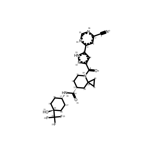 N#Cc1cc(-c2cc(C(=O)N3CC[C@@H](C(=O)N[C@H]4CC[C@@](O)(C(F)(F)F)CC4)CC34CC4)n[nH]2)ncn1